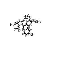 COc1cc2c(N3C(=C=O)C=C(C)C3C(=O)O)cc3ccc(O)cc3c2cc1OC